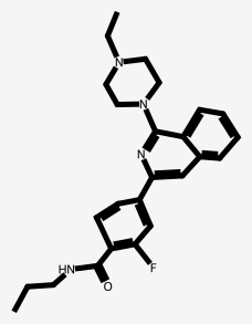 CCCNC(=O)c1ccc(-c2cc3ccccc3c(N3CCN(CC)CC3)n2)cc1F